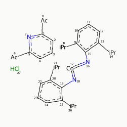 CC(=O)c1cccc(C(C)=O)n1.CC(C)c1cccc(C(C)C)c1[N]=[Co]=[N]c1c(C(C)C)cccc1C(C)C.Cl